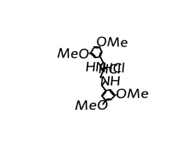 COc1cc(CNCCNCc2cc(OC)cc(OC)c2)cc(OC)c1.Cl.Cl